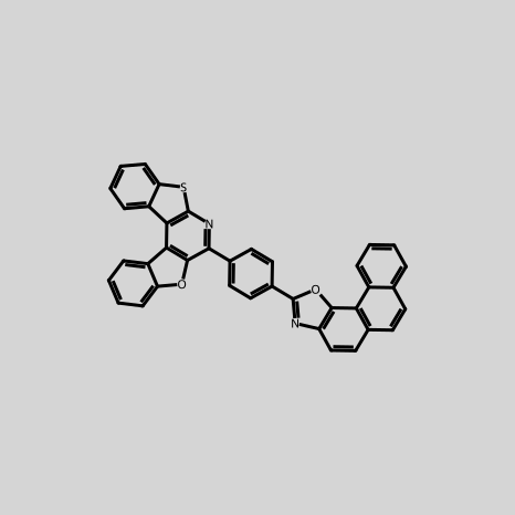 c1ccc2c(c1)ccc1ccc3nc(-c4ccc(-c5nc6sc7ccccc7c6c6c5oc5ccccc56)cc4)oc3c12